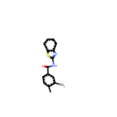 Cc1ccc(C(=O)Nc2nc3ccccc3s2)cc1[N+](=O)[O-]